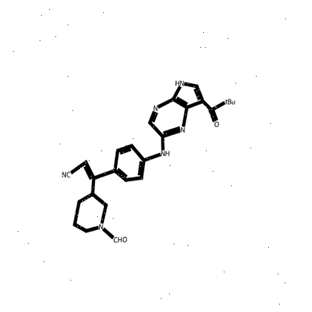 CC(C)(C)C(=O)c1c[nH]c2ncc(Nc3ccc(C(=CC#N)C4CCCN(C=O)C4)cc3)nc12